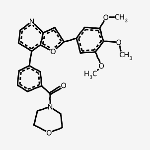 COc1cc(-c2cc3nccc(-c4cccc(C(=O)N5CCOCC5)c4)c3o2)cc(OC)c1OC